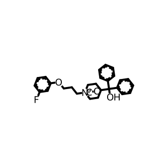 OC(c1ccccc1)(c1ccccc1)C12CC[N+](CCCOc3cccc(F)c3)(CC1)CC2